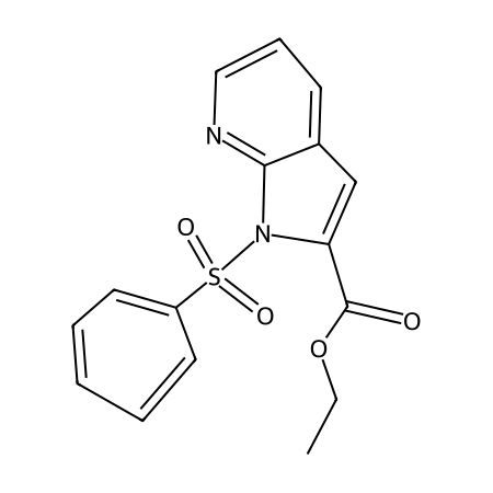 CCOC(=O)c1cc2cccnc2n1S(=O)(=O)c1ccccc1